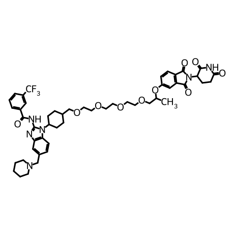 CC(COCCOCCOCCOCC1CCC(n2c(NC(=O)c3cccc(C(F)(F)F)c3)nc3cc(CN4CCCCC4)ccc32)CC1)Oc1ccc2c(c1)C(=O)N(C1CCC(=O)NC1=O)C2=O